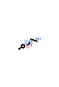 C#Cc1ccc(NC(=O)C2=CN(/C(C)=C\CC(C)=N)SN2C)cc1